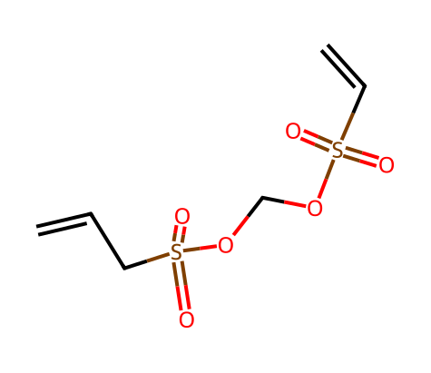 C=CCS(=O)(=O)OCOS(=O)(=O)C=C